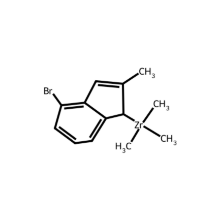 CC1=Cc2c(Br)cccc2[CH]1[Zr]([CH3])([CH3])[CH3]